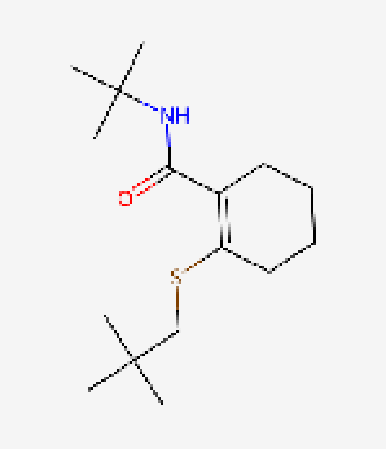 CC(C)(C)CSC1=C(C(=O)NC(C)(C)C)CCCC1